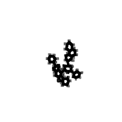 c1ccc(-c2nc(-c3ccc4c(ccc5ccccc54)c3)nc(-c3c4nc(-c5ccccc5)sc4cc4oc5ccccc5c34)n2)cc1